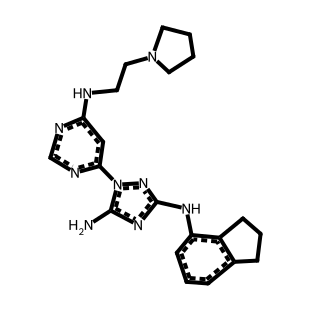 Nc1nc(Nc2cccc3c2CCC3)nn1-c1cc(NCCN2CCCC2)ncn1